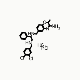 CC1Oc2ccc(CNC(CNCc3ccc(Cl)c(Cl)c3)c3ccccc3)cc2N=C1N.Cl.Cl.Cl